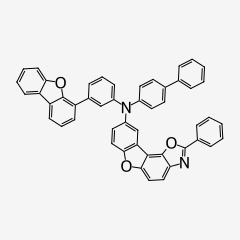 c1ccc(-c2ccc(N(c3cccc(-c4cccc5c4oc4ccccc45)c3)c3ccc4oc5ccc6nc(-c7ccccc7)oc6c5c4c3)cc2)cc1